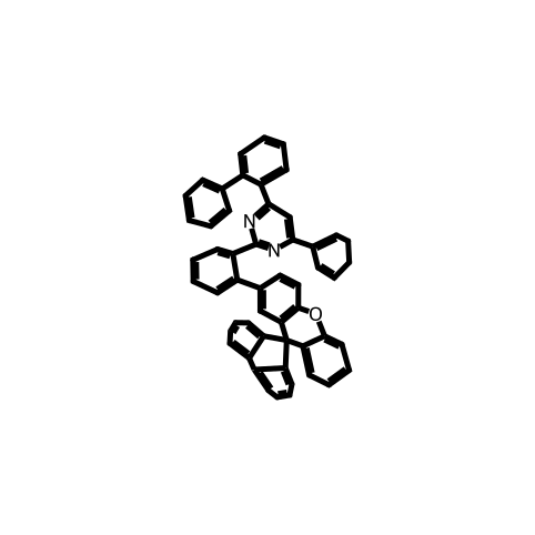 C1=CC(c2cc(-c3ccccc3-c3ccccc3)nc(-c3ccccc3-c3ccc4c(c3)C3(c5ccccc5O4)c4ccccc4-c4ccccc43)n2)=CCC1